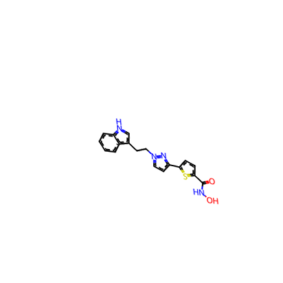 O=C(NO)c1ccc(-c2ccn(CCc3c[nH]c4ccccc34)n2)s1